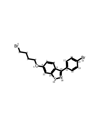 BrCCCCOc1ccc2c(-c3ccc(Br)cc3)nsc2c1